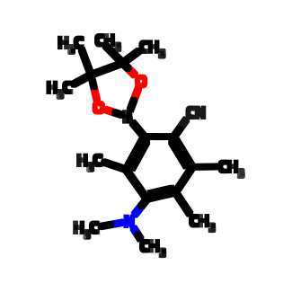 Cc1c(C)c(N(C)C)c(C)c(B2OC(C)(C)C(C)(C)O2)c1C#N